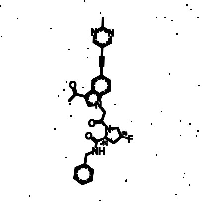 CC(=O)c1cn(CC(=O)N2C[C@H](F)C[C@H]2C(=O)NCc2ccccc2)c2ccc(C#Cc3cnc(C)nc3)cc12